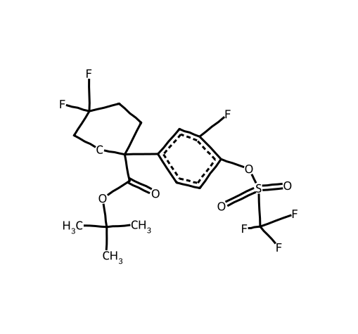 CC(C)(C)OC(=O)C1(c2ccc(OS(=O)(=O)C(F)(F)F)c(F)c2)CCC(F)(F)CC1